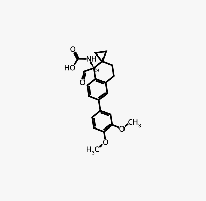 COc1ccc(-c2ccc3c(c2)CCC2(CC2)[C@]3(C=O)NC(=O)O)cc1OC